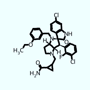 CCOc1cccc(CN2[C@H]3CCN(CC4CC4C(N)=O)[C@H]3[C@H](c3cccc(Cl)c3F)[C@]23C(=O)Nc2cc(Cl)ccc23)c1